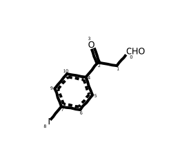 O=CCC(=O)c1ccc(I)cc1